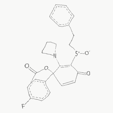 CC(=O)OC1(c2ccc(F)cc2)C=CC(=O)C([S+]([O-])CCc2ccccc2)=C1N1CCC1